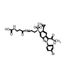 CNC(=O)c1c2cc(C3CC3)c(N(CCCNC(=O)CCNC(=O)O)S(C)(=O)=O)cc2nn1-c1ccc(Br)cc1